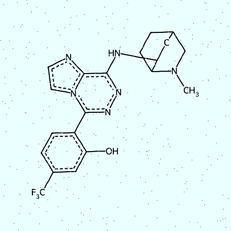 CN1CC2CCC1C(Nc1nnc(-c3ccc(C(F)(F)F)cc3O)n3ccnc13)C2